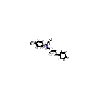 N#C/C(=C\OC(=O)CCc1ccccc1)c1ccc(Cl)cc1